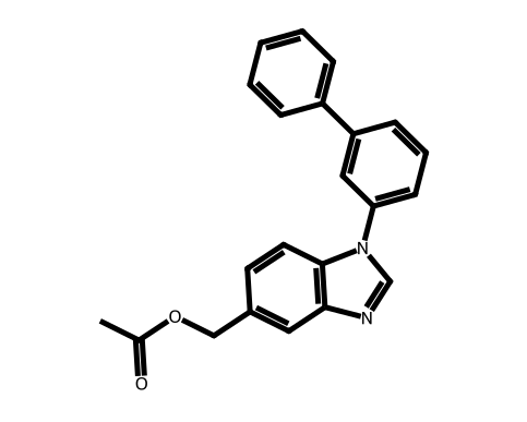 CC(=O)OCc1ccc2c(c1)ncn2-c1cccc(-c2ccccc2)c1